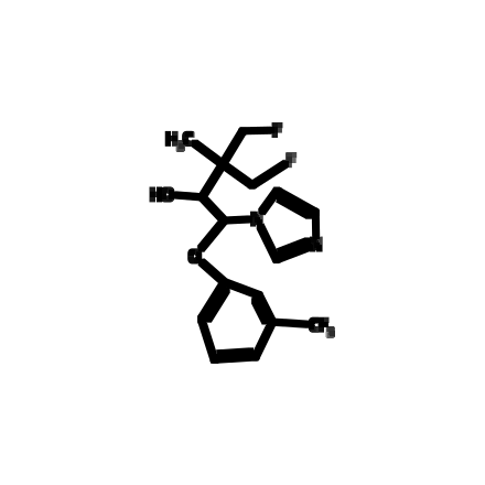 CC(CF)(CF)C(O)C(Oc1cccc(C(F)(F)F)c1)n1ccnc1